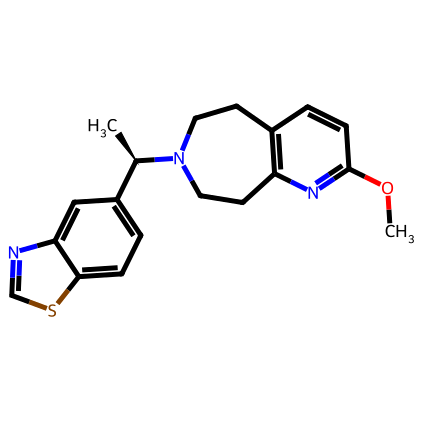 COc1ccc2c(n1)CCN([C@H](C)c1ccc3scnc3c1)CC2